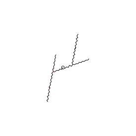 CCCCCCCCC=CCCCCCCCCC(CCCCCCCCCC)CCCCCOCCCCCC(CCCCCCCCC=CCCCCCCCC)CCCCCCCCCC